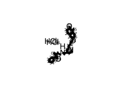 CN(CCNCc1ccnc(CCCOc2ccc3c(ccc(=O)n3C)c2)c1)C(=O)c1ccccc1.Cl.Cl